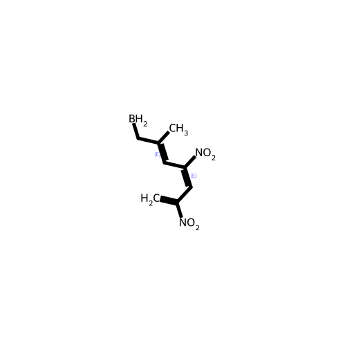 BC/C(C)=C/C(=C\C(=C)[N+](=O)[O-])[N+](=O)[O-]